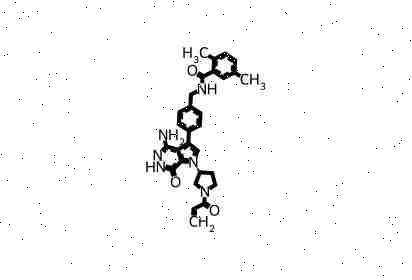 C=CC(=O)N1CC[C@@H](n2cc(-c3ccc(CNC(=O)c4cc(C)ccc4C)cc3)c3c(N)n[nH]c(=O)c32)C1